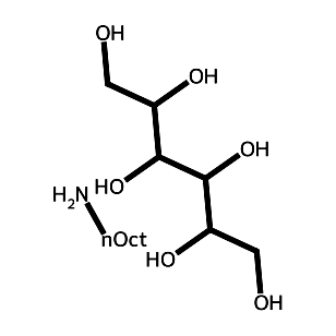 CCCCCCCCN.OCC(O)C(O)C(O)C(O)CO